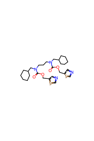 O=C(OCc1cncs1)N(CCCN(CC1CCCCC1)C(=O)OCc1cncs1)CC1CCCCC1